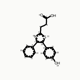 O=C(O)CCc1nc(-c2ccccc2)c(-c2ccc(O)cc2)s1